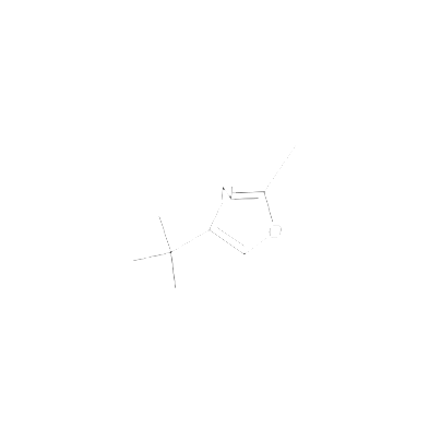 Cc1nc(C(C)(C)C)co1